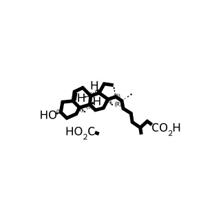 CC(=O)O.CC(CCC[C@@H](C)[C@H]1CC[C@H]2[C@@H]3CC=C4C[C@@H](O)CC[C@]4(C)[C@H]3CC[C@]12C)CC(=O)O